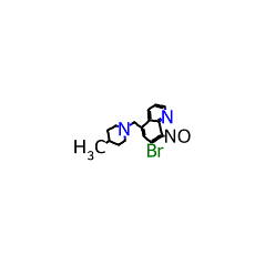 CC1CCN(Cc2cc(Br)c(N=O)c3ncccc23)CC1